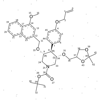 C=CCOc1ccc([C@@H]2[C@@H](OCc3cc(OC)c4ccccc4c3)CN(C(=O)OC(C)(C)C)C[C@H]2OCC2COC(C)(C)O2)cc1